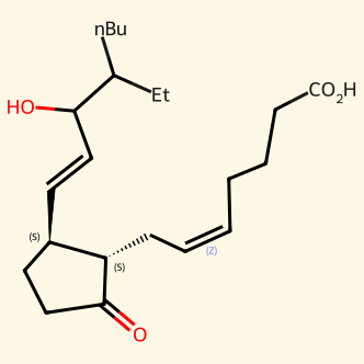 CCCCC(CC)C(O)C=C[C@@H]1CCC(=O)[C@H]1C/C=C\CCCC(=O)O